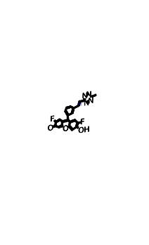 Cc1nnc(/C=C/c2cccc(-c3c4cc(F)c(=O)cc-4oc4cc(O)c(F)cc34)c2)nn1